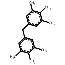 Cc1cc(Cc2cc(C)c(C)c(C)c2)cc(C)c1C